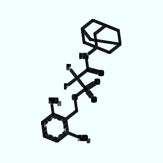 O=C(NC12CC3CC(CC(C3)C1)C2)C(F)(F)S(=O)(=O)OCc1c([N+](=O)[O-])cccc1[N+](=O)[O-]